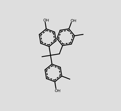 Cc1cc(CC(C)(c2ccc(O)cc2)c2ccc(O)c(C)c2)ccc1O